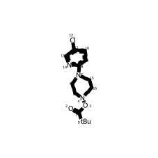 CC(C)(C)C(=O)ON1CCN(c2ccc(Cl)cn2)CC1